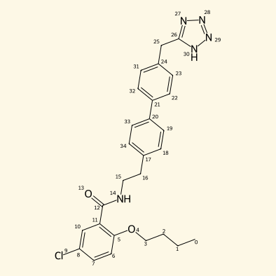 CCCCOc1ccc(Cl)cc1C(=O)NCCc1ccc(-c2ccc(Cc3nnn[nH]3)cc2)cc1